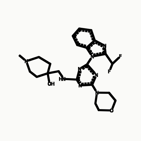 CN1CCC(O)(CNc2nc(N3CCOCC3)nc(-n3c(C(F)F)nc4ccccc43)n2)CC1